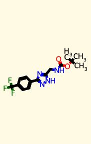 CC(C)(C)OC(=O)NCc1nc(-c2ccc(C(F)(F)F)cc2)n[nH]1